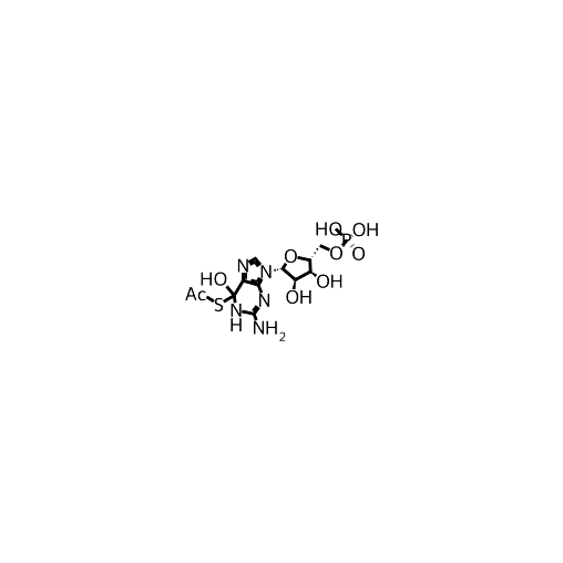 CC(=O)SC1(O)NC(N)=Nc2c1ncn2[C@@H]1O[C@H](COP(=O)(O)O)[C@@H](O)[C@H]1O